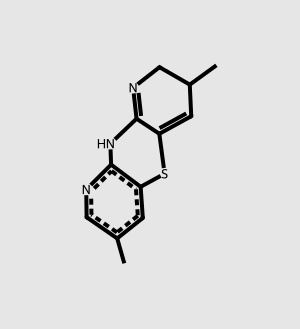 Cc1cnc2c(c1)SC1=CC(C)CN=C1N2